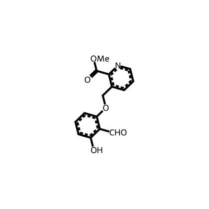 COC(=O)c1ncccc1COc1cccc(O)c1C=O